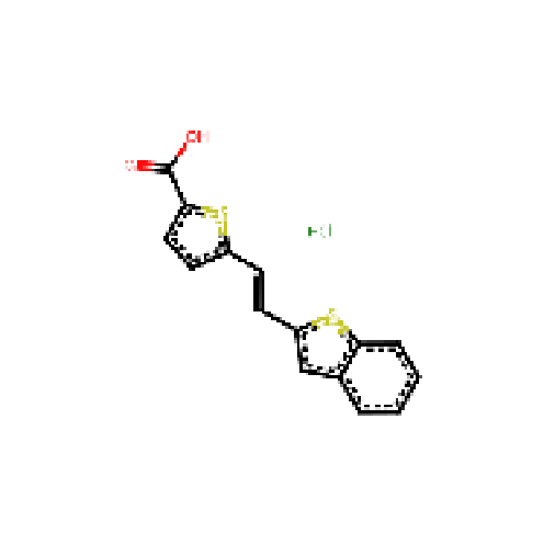 Cl.O=C(O)c1ccc(C=Cc2cc3ccccc3s2)s1